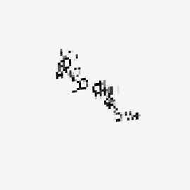 COCCn1cc(Nc2ncc(-c3ccc(CC(=O)Nc4ccc(C(F)(F)F)cn4)c(F)c3)cn2)cn1